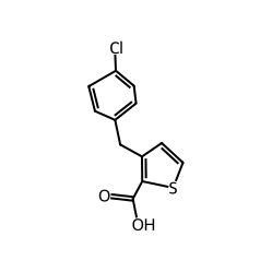 O=C(O)c1sccc1Cc1ccc(Cl)cc1